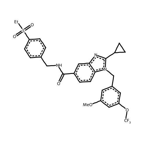 CCS(=O)(=O)c1ccc(CNC(=O)c2ccc3c(c2)nc(C2CC2)n3Cc2cc(OC)cc(OC(F)(F)F)c2)cc1